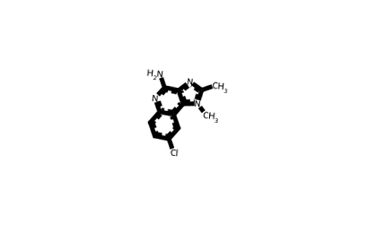 Cc1nc2c(N)nc3ccc(Cl)cc3c2n1C